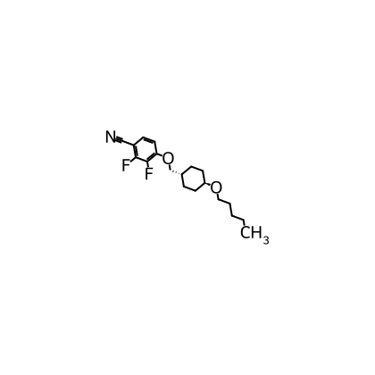 CCCCCO[C@H]1CC[C@H](COc2ccc(C#N)c(F)c2F)CC1